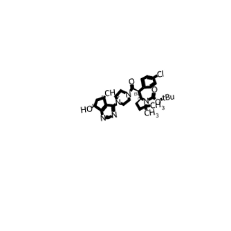 C[C@@H]1C[C@@H](O)c2ncnc(N3CCN(C(=O)[C@@H](c4ccc(Cl)cc4)[C@@H]4CCC(C)(C)N4C(=O)OC(C)(C)C)CC3)c21